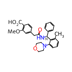 COc1cc(CC(=O)N[C@@H](c2ccccc2)c2c(C)cccc2N2CCOCC2)ccc1C(=O)O